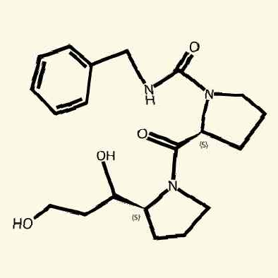 O=C(NCc1ccccc1)N1CCC[C@H]1C(=O)N1CCC[C@H]1C(O)CCO